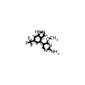 COc1nc(N)ncc1-c1cc(C(F)(F)F)cc2[nH]ncc12